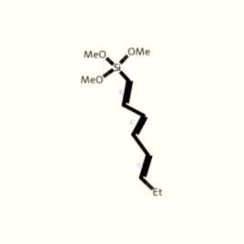 CC/C=C/C=C/C=C/[Si](OC)(OC)OC